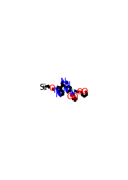 CC(C)(C)OC(=O)N(CCOC1CCCCO1)[C@H]1CCCN(c2ccnc3c2c(-c2cncnc2)cn3COCC[Si](C)(C)C)C1